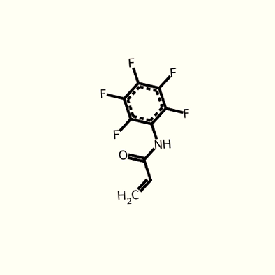 C=CC(=O)Nc1c(F)c(F)c(F)c(F)c1F